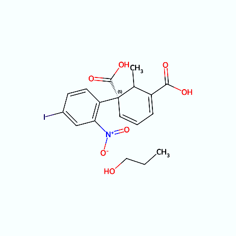 CC1C(C(=O)O)=CC=C[C@@]1(C(=O)O)c1ccc(I)cc1[N+](=O)[O-].CCCO